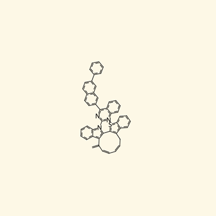 C=C1/C=C\C=C/Cc2c(sc3ccccc23)-c2c1c1ccccc1n2-c1nc(-c2ccc3ccc(-c4ccccc4)cc3c2)c2ccccc2n1